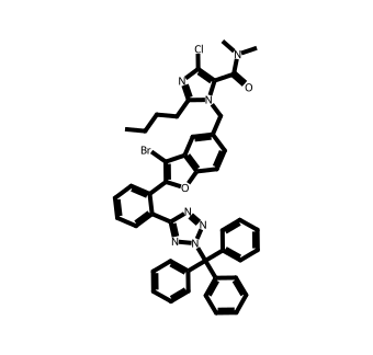 CCCCc1nc(Cl)c(C(=O)N(C)C)n1Cc1ccc2oc(-c3ccccc3-c3nnn(C(c4ccccc4)(c4ccccc4)c4ccccc4)n3)c(Br)c2c1